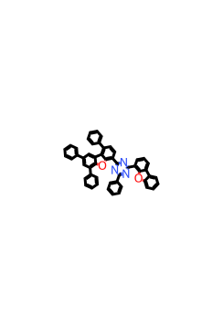 c1ccc(-c2cc(-c3ccccc3)c3oc4c(-c5nc(-c6ccccc6)nc(-c6cccc7c6oc6ccccc67)n5)ccc(-c5ccccc5)c4c3c2)cc1